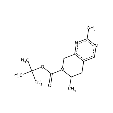 CC1Cc2cnc(N)nc2CN1C(=O)OC(C)(C)C